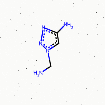 NCn1cc(N)nn1